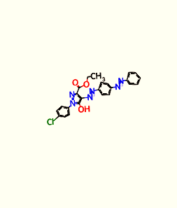 CCOC(=O)c1nn(-c2ccc(Cl)cc2)c(O)c1/N=N/c1ccc(/N=N/c2ccccc2)cc1